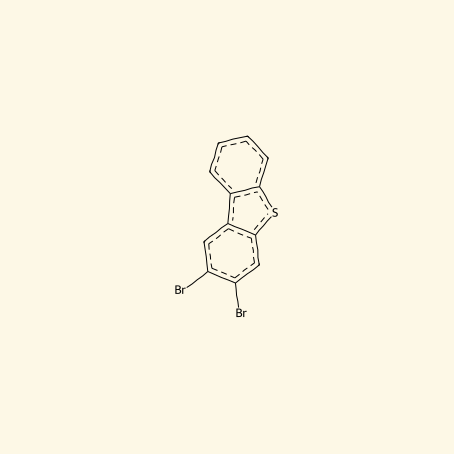 Brc1cc2sc3ccccc3c2cc1Br